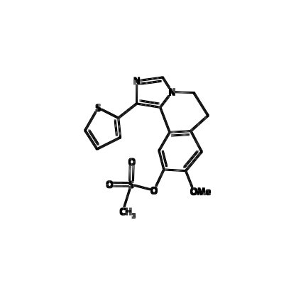 COc1cc2c(cc1OS(C)(=O)=O)-c1c(-c3cccs3)ncn1CC2